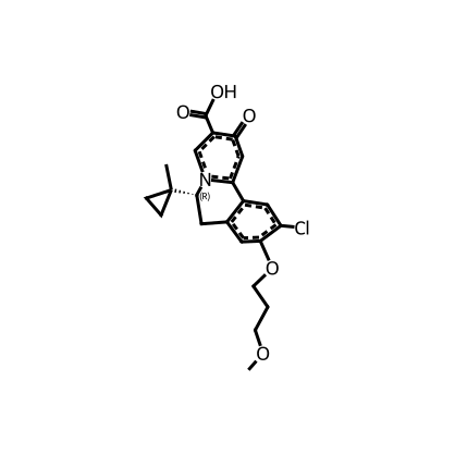 COCCCOc1cc2c(cc1Cl)-c1cc(=O)c(C(=O)O)cn1[C@@H](C1(C)CC1)C2